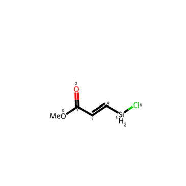 COC(=O)C=C[SiH2]Cl